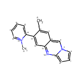 Cc1cc2cn3cccc3nc2cc1-c1cccc[n+]1C